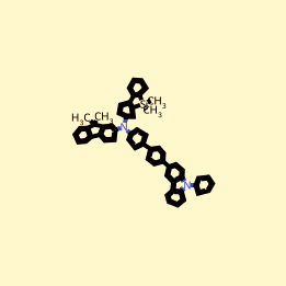 CC1(C)c2ccccc2-c2ccc(N(c3ccc(-c4ccc(-c5ccc6c(c5)c5ccccc5n6-c5ccccc5)cc4)cc3)c3ccc4c(c3)[Si](C)(C)c3ccccc3-4)cc21